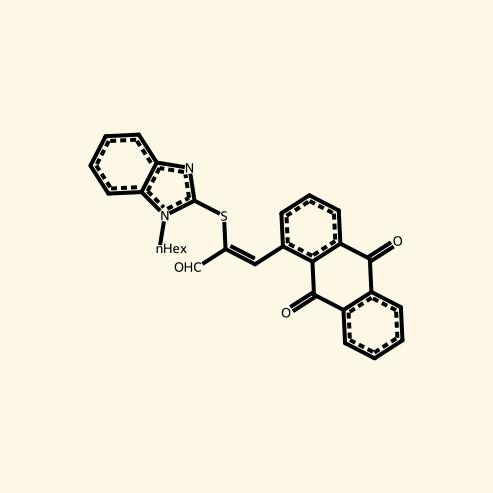 CCCCCCn1c(SC(C=O)=Cc2cccc3c2C(=O)c2ccccc2C3=O)nc2ccccc21